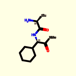 CNC(=O)[C@@H](NC(=O)[C@@H](N)C(C)(C)C)C1CCCCC1